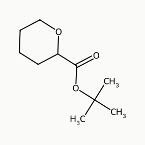 CC(C)(C)OC(=O)C1CCCCO1